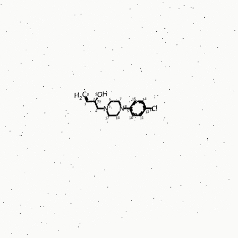 C=C[C@@H](O)CN1CCN(c2ccc(Cl)cc2)CC1